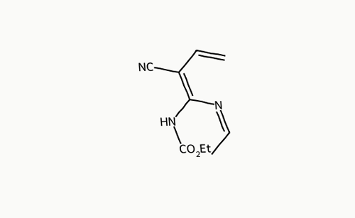 C=C/C(C#N)=C(\N=C/C)NC(=O)OCC